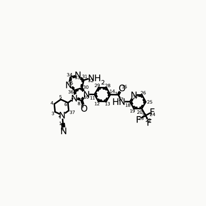 N#CN1CCCC(n2c(=O)n(-c3ccc(C(=O)Nc4cc(C(F)(F)F)ccn4)cc3)c3c(N)ncnc32)C1